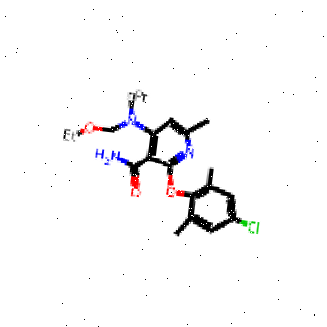 CCCN(COCC)c1cc(C)nc(Oc2c(C)cc(Cl)cc2C)c1C(N)=O